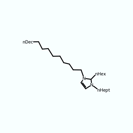 CCCCCCCCCCCCCCCCCCCN1C=CN(CCCCCCC)C1CCCCCC